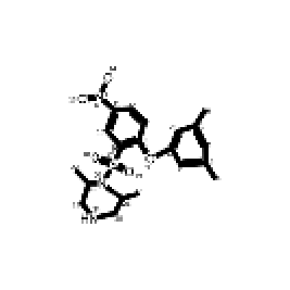 Cc1cc(C)cc(Oc2ccc([N+](=O)[O-])cc2S(=O)(=O)N2C(C)CNCC2C)c1